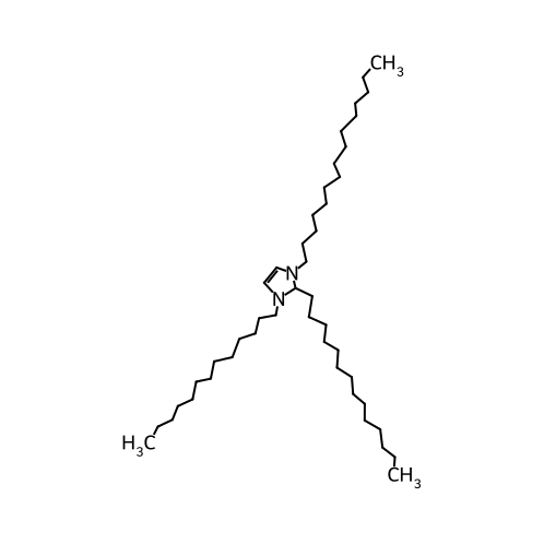 CCCCCCCCCCCCCCCN1C=CN(CCCCCCCCCCCCC)C1CCCCCCCCCCCCCC